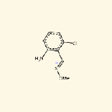 CO/N=C/c1c(N)cccc1Cl